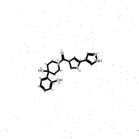 O=C(C1C=C(c2cn[nH]c2)SC1)N1CCC(O)(c2ccccc2O)CC1